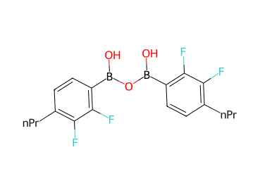 CCCc1ccc(B(O)OB(O)c2ccc(CCC)c(F)c2F)c(F)c1F